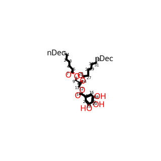 CCCCCCCCCCCCCCCC(=O)OC[C@H](COC(=O)c1cc(O)c(O)c(O)c1)OC(=O)CCCCCCCCCCCCCCC